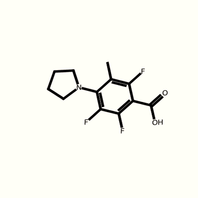 Cc1c(F)c(C(=O)O)c(F)c(F)c1N1CCCC1